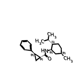 CC(C)[C@@H]1CC[C@@H](C)C[C@H]1NC(=O)[C@@H]1C[C@H]1c1ccccc1